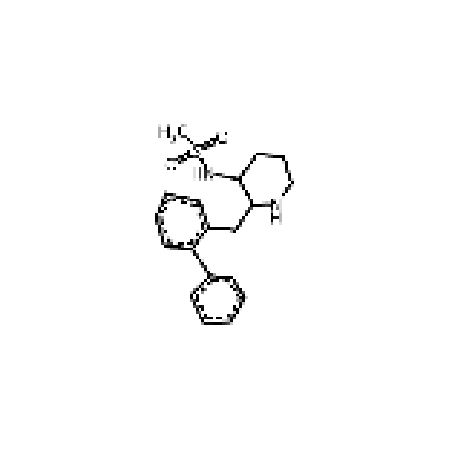 CS(=O)(=O)NC1CCCNC1Cc1ccccc1-c1ccccc1